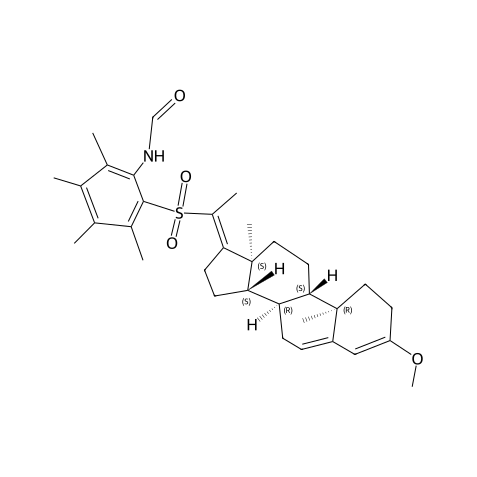 COC1=CC2=CC[C@@H]3[C@H](CC[C@]4(C)C(=C(C)S(=O)(=O)c5c(C)c(C)c(C)c(C)c5NC=O)CC[C@@H]34)[C@@]2(C)CC1